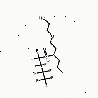 CCCN(CCOCCO)S(=O)(=O)C(F)(F)C(F)(F)C(F)(F)C(F)(F)F